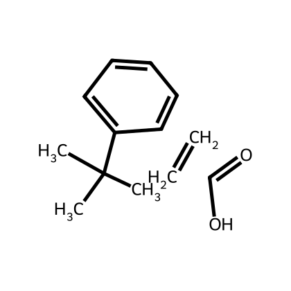 C=C.CC(C)(C)c1ccccc1.O=CO